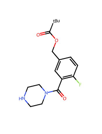 CC(C)(C)C(=O)OCc1ccc(F)c(C(=O)N2CCNCC2)c1